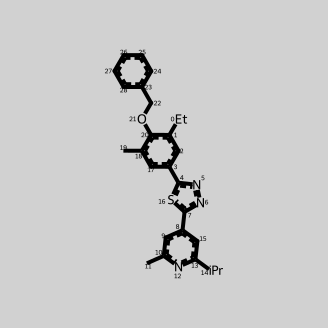 CCc1cc(-c2nnc(-c3cc(C)nc(C(C)C)c3)s2)cc(C)c1OCc1ccccc1